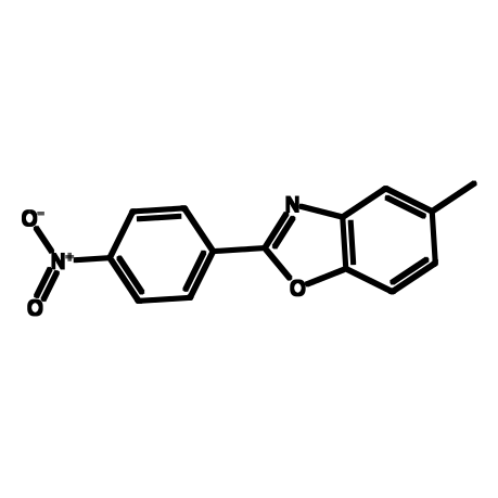 Cc1ccc2oc(-c3ccc([N+](=O)[O-])cc3)nc2c1